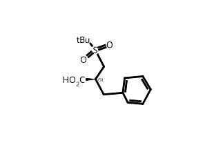 CC(C)(C)S(=O)(=O)C[C@@H](Cc1ccccc1)C(=O)O